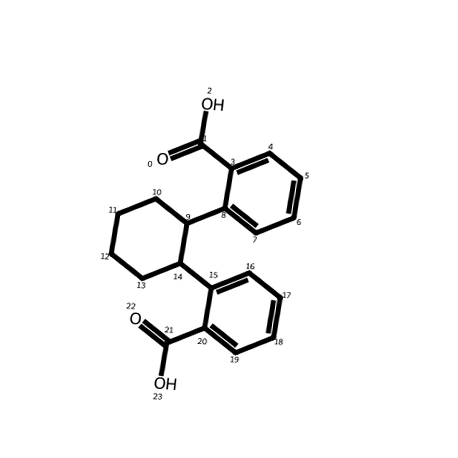 O=C(O)c1ccccc1C1CCCCC1c1ccccc1C(=O)O